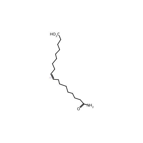 NC(=O)CCCCCCC/C=C\CCCCCCCC(=O)O